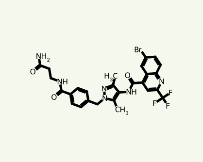 Cc1nn(Cc2ccc(C(=O)NCCC(N)=O)cc2)c(C)c1NC(=O)c1cc(C(F)(F)F)nc2ccc(Br)cc12